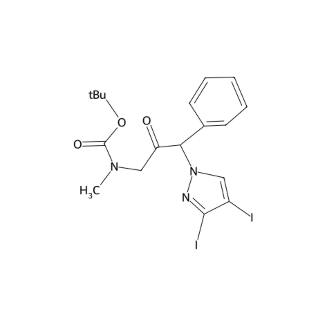 CN(CC(=O)C(c1ccccc1)n1cc(I)c(I)n1)C(=O)OC(C)(C)C